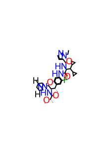 CCn1nccc1C(=O)N[C@H](C(=O)Nc1ccc([C@H](C)[C@@H](NC(=O)[C@H](C)OC)C(=O)N2C[C@H]3C[C@@H](C2)N3C)cc1F)C(C1CC1)C1CC1